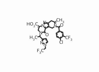 CC(c1ccn(CC(F)(F)F)n1)N1C[C@@H](C(=O)O)n2nc3c(c2C1=O)CN(C(=O)c1ccc(Cl)c(C(F)(F)F)c1)[C@H](C)C3